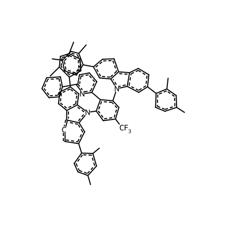 Cc1ccc(-c2ccc3c4ccc(-c5ccc(C)cc5C)cc4n(-c4cc(C(F)(F)F)cc(-n5c6cc(-c7ccc(C)cc7C)ccc6c6ccc(-c7ccc(C)cc7C)cc65)c4-c4cccc(-c5ccccc5)n4)c3c2)c(C)c1